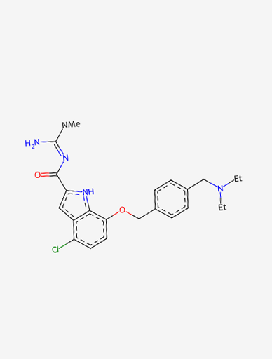 CCN(CC)Cc1ccc(COc2ccc(Cl)c3cc(C(=O)N=C(N)NC)[nH]c23)cc1